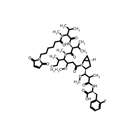 CCC(C)C(C(CC(=O)N1C2C[C@H]2C[C@H]1C(OC)C(C)C(=O)N[C@@H](Cc1ccccc1F)C(=O)O)OC)N(C)C(=O)[C@@H](NC(=O)C(C(C)C)N(C)C(=O)CCCCCN1C(=O)C=CC1=O)C(C)C